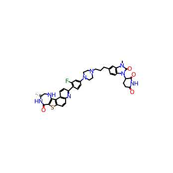 C[C@@H]1CNc2c(sc3ccc4nc(-c5ccc(N6CCN(CCCc7ccc8c(c7)n(C)c(=O)n8C7CCC(=O)NC7=O)CC6)cc5F)ccc4c23)C(=O)N1